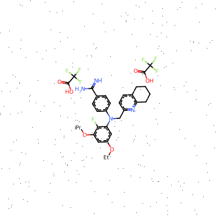 CCOc1cc(OC(C)C)c(F)c(N(Cc2ccc3c(n2)CCCC3)c2ccc(C(=N)N)cc2)c1.O=C(O)C(F)(F)F.O=C(O)C(F)(F)F